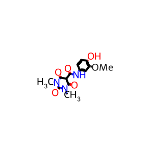 COc1cc(NC(=O)C2C(=O)N(C)C(=O)N(C)C2=O)ccc1O